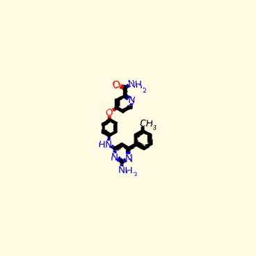 Cc1cccc(-c2cc(Nc3ccc(Oc4ccnc(C(N)=O)c4)cc3)nc(N)n2)c1